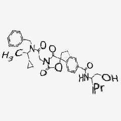 CC(C)C(CO)NC(=O)c1ccc2c(c1)CCC21OC(=O)N(CC(=O)N(Cc2ccccc2)C(C)C2CC2)C1=O